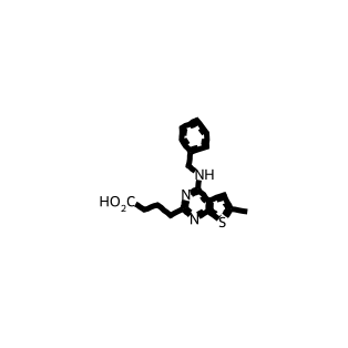 Cc1cc2c(NCc3ccccc3)nc(CCCC(=O)O)nc2s1